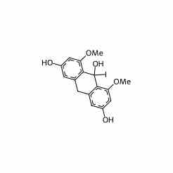 COc1cc(O)cc2c1C(O)(I)c1c(cc(O)cc1OC)C2